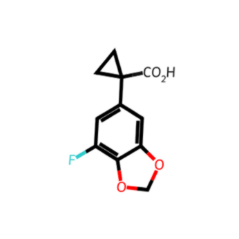 O=C(O)C1(c2cc(F)c3c(c2)OCO3)CC1